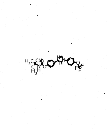 CC(C)(C)NC(=O)Oc1ccc(-c2ncn(-c3ccc(OC(F)(F)F)cc3)n2)cc1